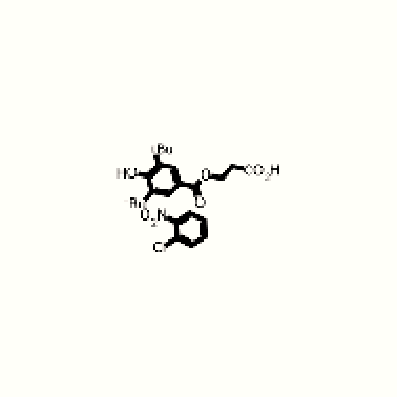 CC(C)(C)c1cc(C(=O)OCCC(=O)O)cc(C(C)(C)C)c1O.O=[N+]([O-])c1ccccc1Cl